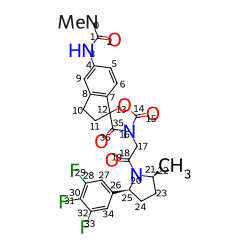 CNC(=O)Nc1ccc2c(c1)CCC21OC(=O)N(CC(=O)N2[C@@H](C)CC[C@H]2c2cc(F)c(F)c(F)c2)C1=O